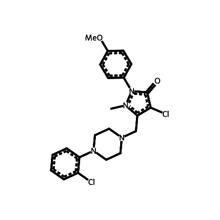 COc1ccc(-n2c(=O)c(Cl)c(CN3CCN(c4ccccc4Cl)CC3)n2C)cc1